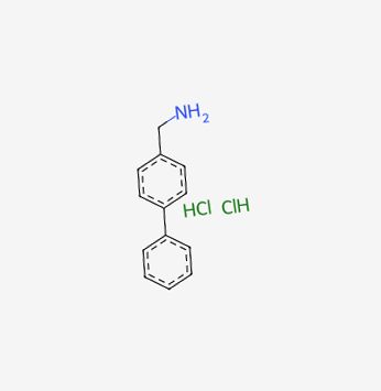 Cl.Cl.NCc1ccc(-c2ccccc2)cc1